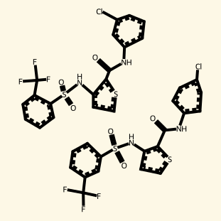 O=C(Nc1ccc(Cl)cc1)c1sccc1NS(=O)(=O)c1cccc(C(F)(F)F)c1.O=C(Nc1cccc(Cl)c1)c1sccc1NS(=O)(=O)c1ccccc1C(F)(F)F